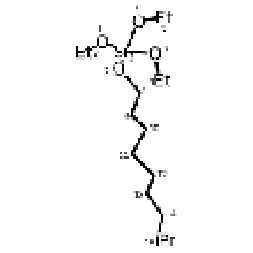 CCO[Si](OCC)(OCC)OCCCCCCCC(C)C